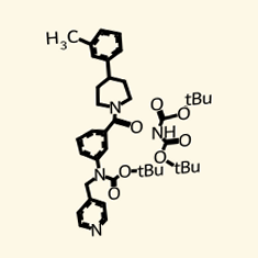 CC(C)(C)OC(=O)NC(=O)OC(C)(C)C.Cc1cccc(C2CCN(C(=O)c3cccc(N(Cc4ccncc4)C(=O)OC(C)(C)C)c3)CC2)c1